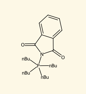 CCCCP(CCCC)(CCCC)(CCCC)N1C(=O)c2ccccc2C1=O